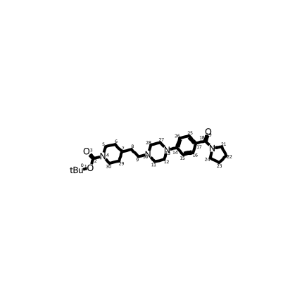 CC(C)(C)OC(=O)N1CCC(CCN2CCN(c3ccc(C(=O)N4CCCC4)cc3)CC2)CC1